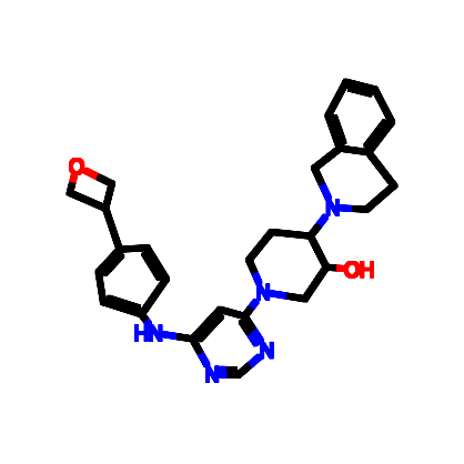 OC1CN(c2cc(Nc3ccc(C4COC4)cc3)ncn2)CCC1N1CCc2ccccc2C1